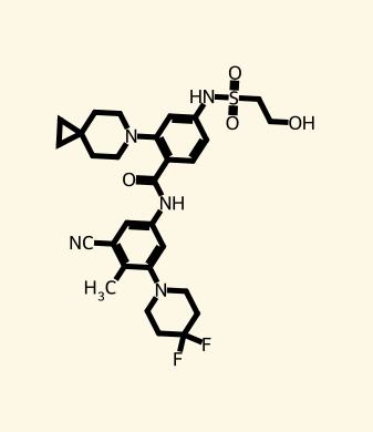 Cc1c(C#N)cc(NC(=O)c2ccc(NS(=O)(=O)CCO)cc2N2CCC3(CC2)CC3)cc1N1CCC(F)(F)CC1